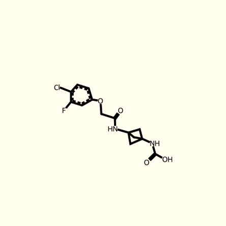 O=C(O)NC12CC(NC(=O)COc3ccc(Cl)c(F)c3)(C1)C2